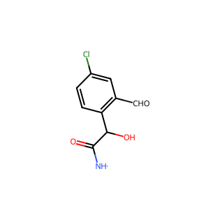 [NH]C(=O)C(O)c1ccc(Cl)cc1C=O